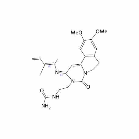 C=C/C(C)=C(C)/N=c1\cc2n(c(=O)n1CCNC(N)=O)CCc1cc(OC)c(OC)cc1-2